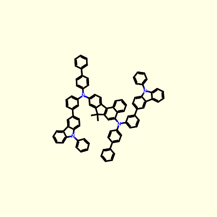 CC1(C)c2cc(N(c3ccc(-c4ccccc4)cc3)c3cccc(-c4ccc5c(c4)c4ccccc4n5-c4ccccc4)c3)ccc2-c2c1cc(N(c1ccc(-c3ccccc3)cc1)c1cccc(-c3ccc4c(c3)c3ccccc3n4-c3ccccc3)c1)c1ccccc21